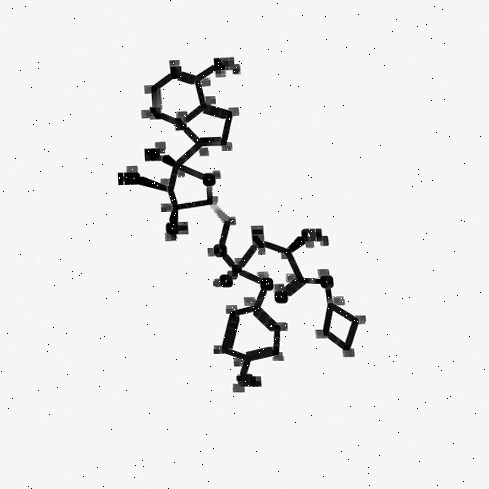 C[C@H](NP(=O)(OC[C@H]1O[C@@](C#N)(c2ccc3c(N)ncnn23)[C@H](O)[C@@H]1O)Oc1ccc(C(C)(C)C)cc1)C(=O)OC1CCC1